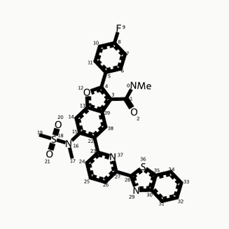 CNC(=O)c1c(-c2ccc(F)cc2)oc2cc(N(C)S(C)(=O)=O)c(-c3cccc(-c4nc5ccccc5s4)n3)cc12